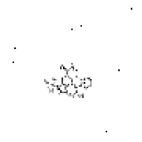 [2H]C([2H])N(c1c(C)cccc1C)c1cc(C(=O)N(C)C)cc2c1nc(C)n2C([2H])([2H])[2H]